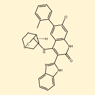 Cc1ccccc1-c1cc2c(N[C@H]3CN4CCC3CC4)c(-c3nc4ccccc4[nH]3)c(=O)[nH]c2cc1Cl